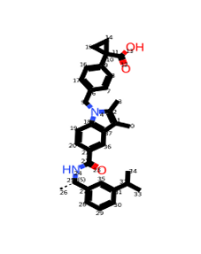 Cc1c(C)n(Cc2ccc(C3(C(=O)O)CC3)cc2)c2ccc(C(=O)N[C@@H](C)c3cccc(C(C)C)c3)cc12